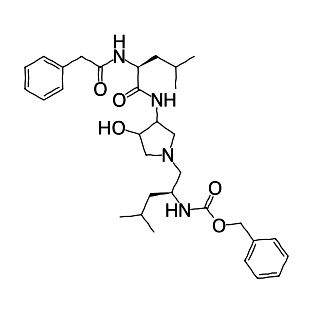 CC(C)C[C@@H](CN1CC(O)C(NC(=O)[C@H](CC(C)C)NC(=O)Cc2ccccc2)C1)NC(=O)OCc1ccccc1